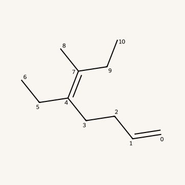 C=CCCC(CC)=C(C)CC